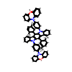 N#Cc1ccc(C#N)c(-c2c3c4ccccc4n(-c4ccc(N5c6ccccc6Oc6ccccc65)cc4)c3c(-c3cc(C#N)ccc3C#N)c3c4ccccc4n(-c4ccc(N5c6ccccc6Oc6ccccc65)cc4)c23)c1